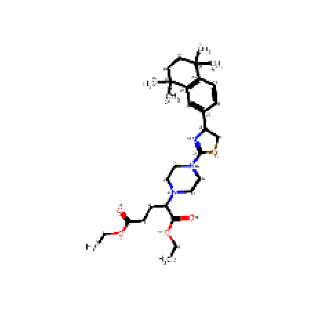 CCOC(=O)CCC(C(=O)OCC)N1CCN(C2=NC(c3ccc4c(c3)C(C)(C)CCC4(C)C)CS2)CC1